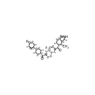 Cc1c(C(=O)N(CC2CCN(C(=O)c3ccc(-c4ccc(F)cn4)cc3)CC2)CC(F)(F)F)ccc2n[nH]cc12